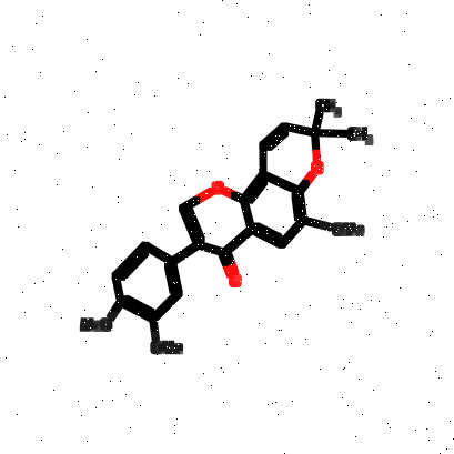 COc1ccc(-c2coc3c4c(c(OC)cc3c2=O)OC(C)(C)C=C4)cc1OC